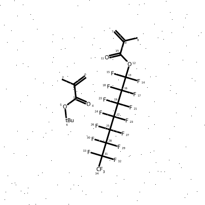 C=C(C)C(=O)OC(C)(C)C.C=C(C)C(=O)OC(F)(F)C(F)(F)C(F)(F)C(F)(F)C(F)(F)C(F)(F)C(F)(F)C(F)(F)F